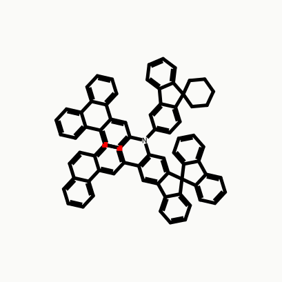 c1ccc2c(c1)-c1cc(N(c3ccc4c5ccccc5c5ccccc5c4c3)c3cc4c(cc3-c3ccc5ccc6ccccc6c5c3)-c3ccccc3C43c4ccccc4-c4ccccc43)ccc1C21CCCCC1